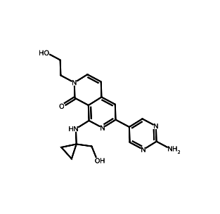 Nc1ncc(-c2cc3ccn(CCO)c(=O)c3c(NC3(CO)CC3)n2)cn1